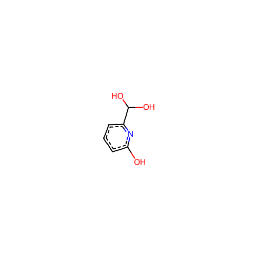 Oc1cccc(C(O)O)n1